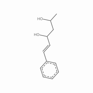 CC(O)CC(O)C=Cc1ccccc1